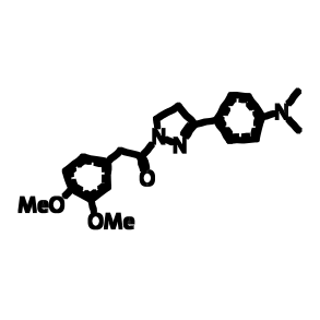 COc1ccc(CC(=O)N2CCC(c3ccc(N(C)C)cc3)=N2)cc1OC